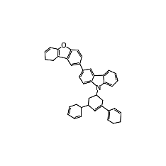 C1=CCC(C2C=C(C3=CCCC=C3)CC(n3c4ccccc4c4cc(-c5ccc6oc7c(c6c5)CCC=C7)ccc43)C2)C=C1